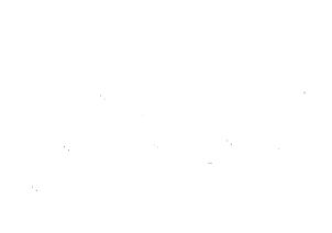 CO/N=C(\C(=O)NC1C(=O)N2C(C(=O)O)=C(O)CS[C@H]12)c1csc(N)n1